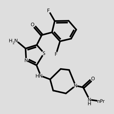 CCCNC(=O)N1CCC(Nc2nc(N)c(C(=O)c3c(F)cccc3F)s2)CC1